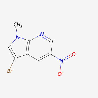 Cn1cc(Br)c2cc([N+](=O)[O-])cnc21